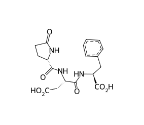 O=C(O)C[C@H](NC(=O)[C@@H]1CCC(=O)N1)C(=O)N[C@@H](Cc1ccccc1)C(=O)O